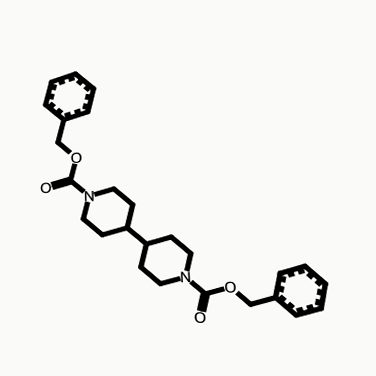 O=C(OCc1ccccc1)N1CCC(C2CCN(C(=O)OCc3ccccc3)CC2)CC1